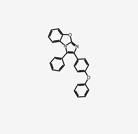 c1ccc(Oc2ccc(-c3nc4oc5ccccc5n4c3-c3ccccc3)cc2)cc1